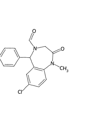 CN1C(=O)CN(C=O)C(c2ccccc2)c2cc(Cl)ccc21